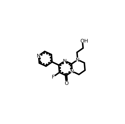 O=c1c(F)c(-c2ccncc2)nc2n1CCCN2CCO